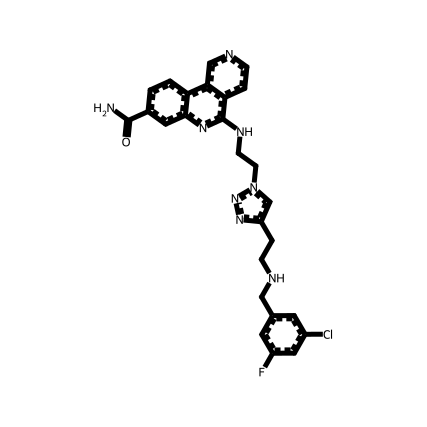 NC(=O)c1ccc2c(c1)nc(NCCn1cc(CCNCc3cc(F)cc(Cl)c3)nn1)c1ccncc12